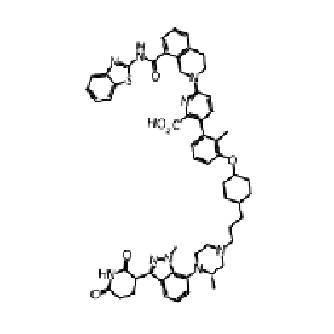 Cc1c(OC2CCC(CCCN3CCN(c4cccc5c(C6CCC(=O)NC6=O)nn(C)c45)[C@H](C)C3)CC2)cccc1-c1ccc(N2CCc3cccc(C(=O)Nc4nc5ccccc5s4)c3C2)nc1C(=O)O